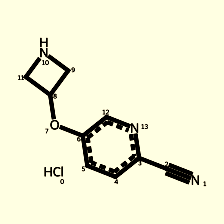 Cl.N#Cc1ccc(OC2CNC2)cn1